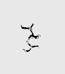 CN(C)SC(=S)N(C)C